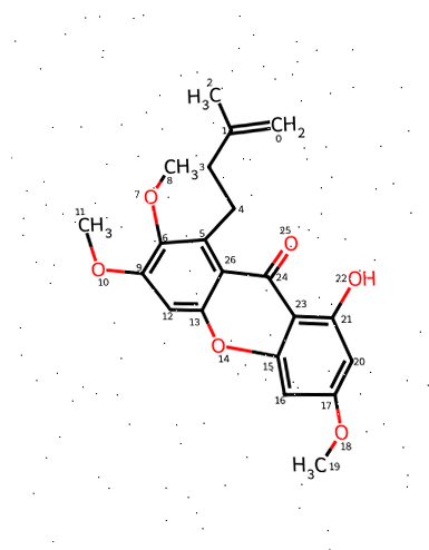 C=C(C)CCc1c(OC)c(OC)cc2oc3cc(OC)cc(O)c3c(=O)c12